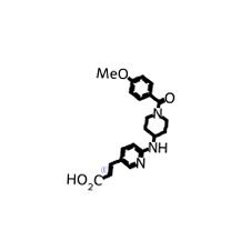 COc1ccc(C(=O)N2CCC(Nc3ccc(/C=C/C(=O)O)cn3)CC2)cc1